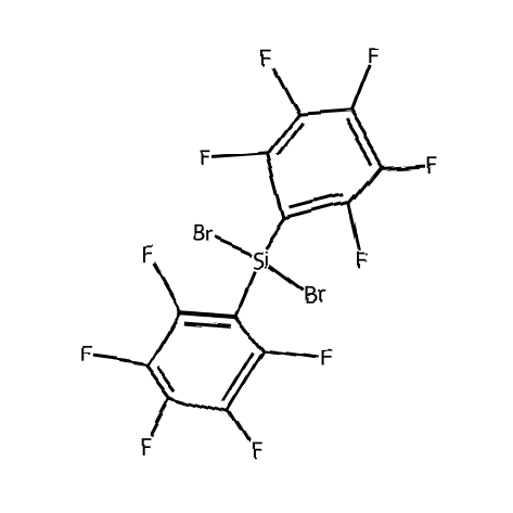 Fc1c(F)c(F)c([Si](Br)(Br)c2c(F)c(F)c(F)c(F)c2F)c(F)c1F